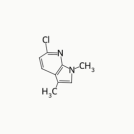 Cc1cn(C)c2nc(Cl)ccc12